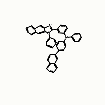 c1ccc(N(c2ccc(-c3ccc4ccccc4c3)cc2)c2cccc(-c3nc4cc5ccccc5cc4n3-c3ccccc3)c2)cc1